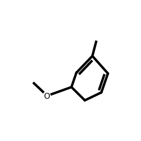 COC1C=C(C)C=CC1